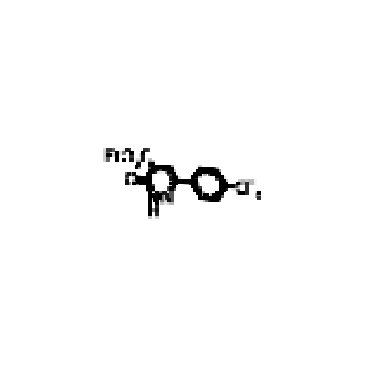 CCOC(=O)c1cc(-c2ccc(C(F)(F)F)cc2)n[nH]c1=O